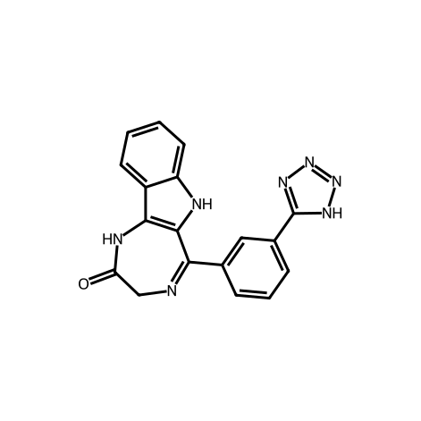 O=C1CN=C(c2cccc(-c3nnn[nH]3)c2)c2[nH]c3ccccc3c2N1